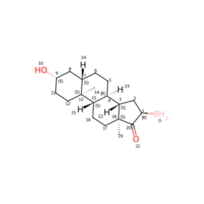 B[C@@H]1C[C@H]2[C@@H]3CC[C@H]4C[C@@H](O)CC[C@]4(C)[C@H]3CC[C@]2(C)C1=O